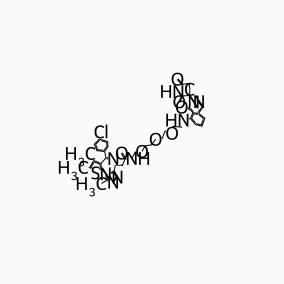 Cc1sc2c(c1C)C(c1ccc(Cl)cc1)=N[C@@H](CC(=O)NCOCCOCCOCCNc1cccc3cnn(C4CCC(=O)NC4=O)c(=O)c13)c1nnc(C)n1-2